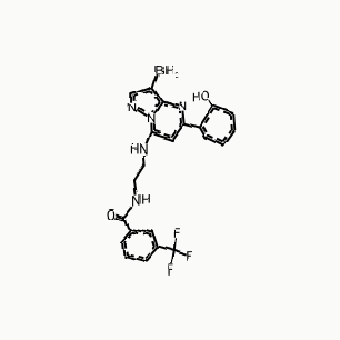 Bc1cnn2c(NCCNC(=O)c3cccc(C(F)(F)F)c3)cc(-c3ccccc3O)nc12